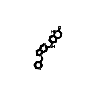 O=C1CCc2cc(Nc3cc4c(ccn4Cc4cccnc4)cn3)ccc2N1